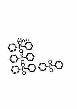 O=P([O-])(c1ccccc1)c1ccccc1.O=P([O-])(c1ccccc1)c1ccccc1.O=P([O-])(c1ccccc1)c1ccccc1.O=P([O-])(c1ccccc1)c1ccccc1.[Mo+4]